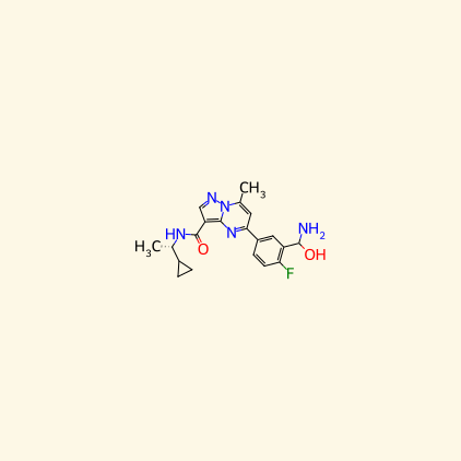 Cc1cc(-c2ccc(F)c(C(N)O)c2)nc2c(C(=O)N[C@@H](C)C3CC3)cnn12